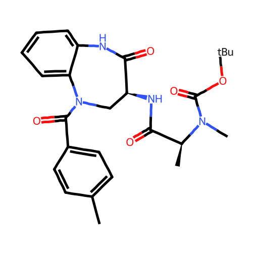 Cc1ccc(C(=O)N2C[C@H](NC(=O)[C@H](C)N(C)C(=O)OC(C)(C)C)C(=O)Nc3ccccc32)cc1